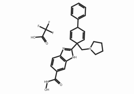 O=C(NO)c1ccc2nc(C3(CN4CCCC4)C=CC(c4ccccc4)C=C3)[nH]c2c1.O=C(O)C(F)(F)F